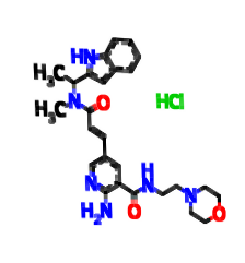 CC(c1cc2ccccc2[nH]1)N(C)C(=O)/C=C/c1cnc(N)c(C(=O)NCCN2CCOCC2)c1.Cl